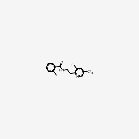 O=C(NCCc1ncc(C(F)(F)F)cc1Cl)c1ccccc1I